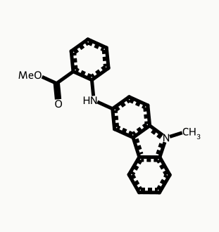 COC(=O)c1ccccc1Nc1ccc2c(c1)c1ccccc1n2C